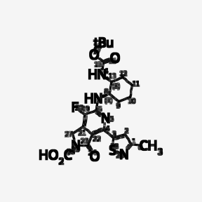 Cc1cc(-c2nc(N[C@@H]3CCCC[C@@H]3NC(=O)OC(C)(C)C)c(F)c3c2C(=O)N(C(=O)O)C3)sn1